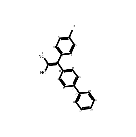 N#CC(C#N)=C(c1ccc(I)cc1)c1ccc(-c2ccccc2)cc1